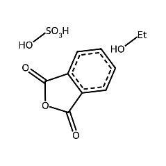 CCO.O=C1OC(=O)c2ccccc21.O=S(=O)(O)O